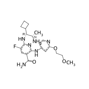 COCCOc1cc(Nc2nc(N[C@H](C3CCC3)[C@H](C)N)c(F)cc2C(N)=O)ccn1